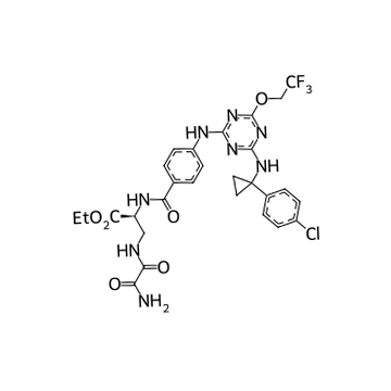 CCOC(=O)[C@H](CNC(=O)C(N)=O)NC(=O)c1ccc(Nc2nc(NC3(c4ccc(Cl)cc4)CC3)nc(OCC(F)(F)F)n2)cc1